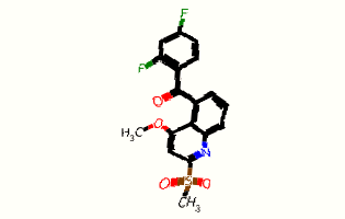 COc1cc(S(C)(=O)=O)nc2cccc(C(=O)c3ccc(F)cc3F)c12